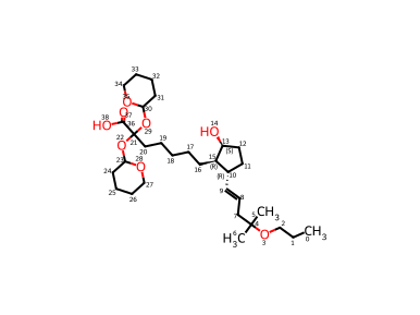 CCCOC(C)(C)CC=C[C@H]1CC[C@H](O)[C@@H]1CCCCCC(OC1CCCCO1)(OC1CCCCO1)C(=O)O